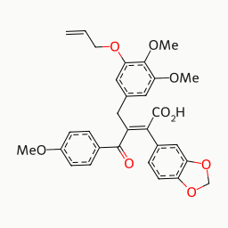 C=CCOc1cc(C/C(C(=O)c2ccc(OC)cc2)=C(\C(=O)O)c2ccc3c(c2)OCO3)cc(OC)c1OC